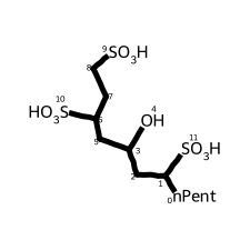 CCCCCC(CC(O)CC(CCS(=O)(=O)O)S(=O)(=O)O)S(=O)(=O)O